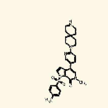 Cc1ccc(S(=O)(=O)n2ccc3c(-c4ccc(N5CCC6(CCNCC6)CC5)nc4)cn(C)c(=O)c32)cc1